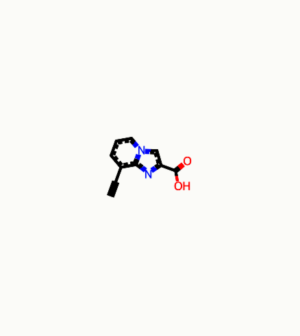 C#Cc1cccn2cc(C(=O)O)nc12